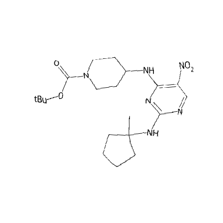 CC1(Nc2ncc([N+](=O)[O-])c(NC3CCN(C(=O)OC(C)(C)C)CC3)n2)CCCC1